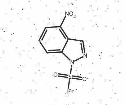 CC(C)S(=O)(=O)n1ncc2c([N+](=O)[O-])cccc21